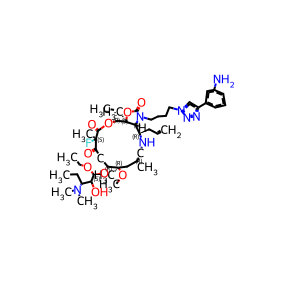 C=CC[C@H]1NC[C@H](C)C[C@@](C)(OC)[C@H](O[C@H](OCC)C(O)C(CC)N(C)C)CC(=O)[C@](C)(F)C(=O)O[C@H](CC)[C@@]2(C)OC(=O)N(CCCCn3cc(-c4cccc(N)c4)nn3)[C@H]12